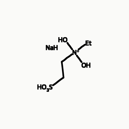 CC[N+](O)(O)CCS(=O)(=O)O.[NaH]